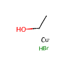 Br.CCO.[Cu]